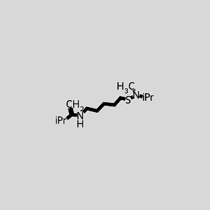 C=C(NCCCCCSN(C)C(C)C)C(C)C